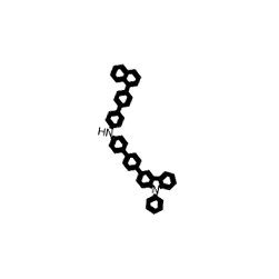 c1ccc(-n2c3ccccc3c3cc(-c4ccc(-c5ccc(Nc6ccc(-c7ccc(-c8cccc9ccccc89)cc7)cc6)cc5)cc4)ccc32)cc1